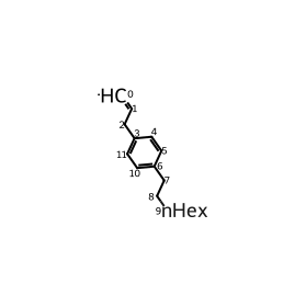 [CH]=CCc1ccc(CCCCCCCC)cc1